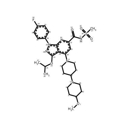 COC1CCN(C2CCN(c3cc(C(=O)NS(C)(=O)=O)nc4c3c(OC(C)C)nn4-c3ccc(F)cc3)CC2)CC1